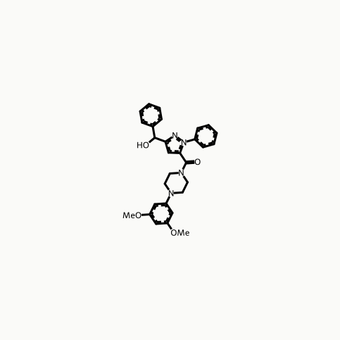 COc1cc(OC)cc(N2CCN(C(=O)c3cc(C(O)c4ccccc4)nn3-c3ccccc3)CC2)c1